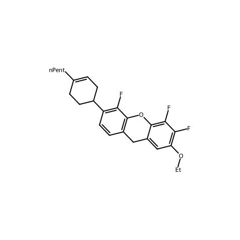 CCCCCC1=CCC(c2ccc3c(c2F)Oc2c(cc(OCC)c(F)c2F)C3)CC1